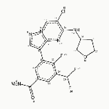 CNC(=O)c1cc(-c2cnn3cc(Cl)c(NC4CCOC4)nc23)c(F)c(C(F)F)c1